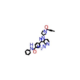 CC#CC(=O)N1CCC(n2nc(-c3ccc(C(=O)Nc4ccccc4)cc3)c3c(N)nccc32)C1